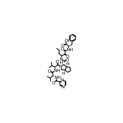 CCCC(NC(=O)[C@@H]1[C@H]2CCC[C@H]2CN1C(=O)[C@@H](NC(=O)[C@H](NC(=O)c1cnccn1)C(C)C)C(C)C)C(=O)C(=O)N[C@H](Cc1ccccc1)C(=O)O